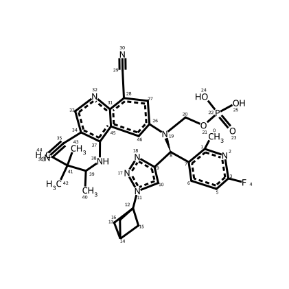 Cc1nc(F)ccc1[C@@H](c1cn(C23CC(C2)C3)nn1)N(COP(=O)(O)O)c1cc(C#N)c2ncc(C#N)c(NC(C)C(C)(C)C)c2c1